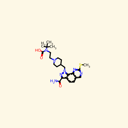 CSc1ncc2ccc3c(C(N)=O)nn(CC4CCN(CCN(C(=O)O)C(C)(C)C)CC4)c3c2n1